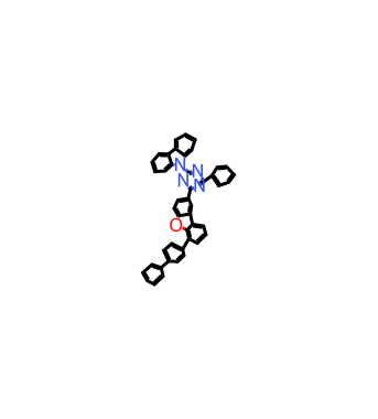 c1ccc(-c2ccc(-c3cccc4c3oc3ccc(-c5nc(-c6ccccc6)nc(-n6c7ccccc7c7ccccc76)n5)cc34)cc2)cc1